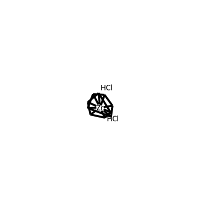 Cl.Cl.[CH]12[CH]3[CH]4[CH]5[CH]1[Zr]23451678[CH]2[CH]1[CH]6[CH]7[CH]28